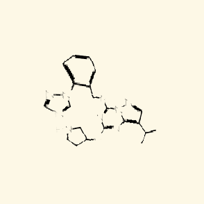 CC(C)c1cnn2c(NCc3ccccc3-n3cncn3)nc(OC3CCNC3)nc12